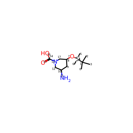 CC(C)(C)[Si](C)(C)OC1CC(N)CN(C(=O)O)C1